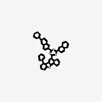 C1=CC2C=CC(c3nc(-c4ccc5cc(C6=CCCC=C6)ccc5c4)nc(-c4cc5c(oc6cccc(-c7ccccc7)c65)c5ccccc45)n3)=CC2C=C1